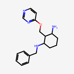 NC1CCCC(NCc2ccccc2)C1COc1ccncn1